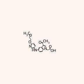 COCCOc1ccc(Nc2ccc3c(c2)c(C(C)=O)cn3CC(=O)O)cn1